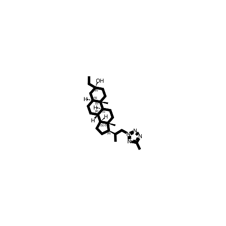 CC[C@@]1(O)CC[C@@]2(C)[C@@H](CC[C@@H]3[C@@H]2CC[C@]2(C)[C@@H](C(C)Cn4nnc(C)n4)CC[C@@H]32)C1